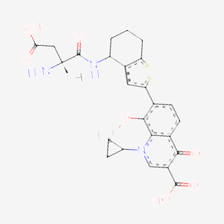 COc1c(-c2cc3c(s2)CCCC3NC(=O)[C@](C)(N)CC(=O)O)ccc2c(=O)c(C(=O)O)cn(C3CC3)c12